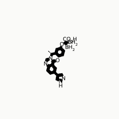 BC(B)(Oc1cccc([C@@H](C)n2cnc3ccc(-c4cn[nH]c4)cc3c2=O)c1)C(=O)O